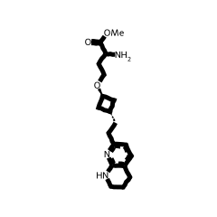 COC(=O)C(N)CCO[C@H]1C[C@H](CCc2ccc3c(n2)NCCC3)C1